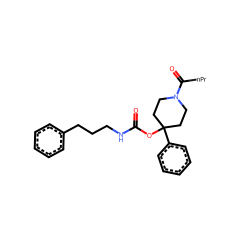 CCCC(=O)N1CCC(OC(=O)NCCCc2ccccc2)(c2ccccc2)CC1